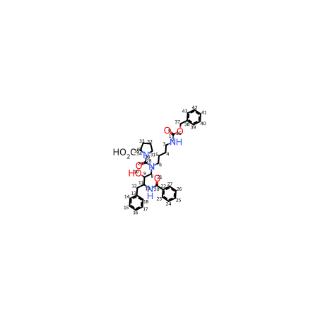 O=C(NCCCCN(CC(O)C(Cc1ccccc1)NC(=O)c1ccccc1)C(=O)N1CCC[C@H]1C(=O)O)OCc1ccccc1